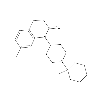 Cc1ccc2c(c1)N(C1CCN(C3(C)CCCCC3)CC1)C(=O)CC2